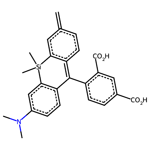 C=c1ccc2c(c1)[Si](C)(C)c1cc(N(C)C)ccc1C=2c1ccc(C(=O)O)cc1C(=O)O